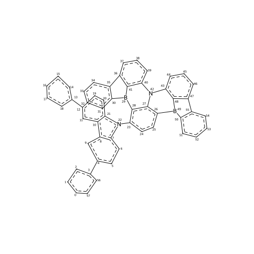 c1ccc(-c2ccc3c(c2)c2cc(-c4ccccc4)ccc2n3-c2ccc3c4c2B2c5ccccc5-c5cccc(c52)N4c2cccc4c2B3c2ccccc2-4)cc1